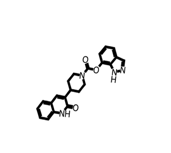 O=C(Oc1cccc2cn[nH]c12)N1CCC(c2cc3ccccc3[nH]c2=O)CC1